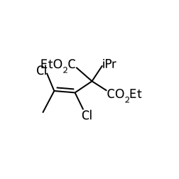 CCOC(=O)C(C(=O)OCC)(C(Cl)=C(C)Cl)C(C)C